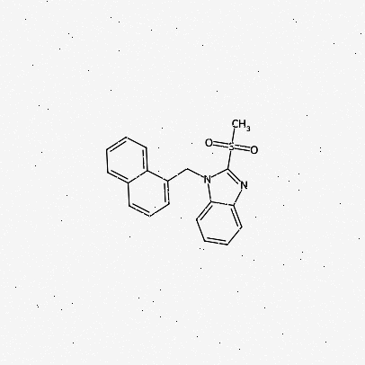 CS(=O)(=O)c1nc2ccccc2n1Cc1cccc2ccccc12